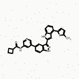 Cc1ccc(-c2cccc3[nH]c(-c4n[nH]c5ccc(-c6cncc(NC(=O)C7CCC7)c6)cc45)cc23)s1